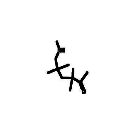 CNCC(C)(C)CC(C)(C)C(C)=O